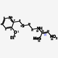 CCOc1cccnc1CSCCN/C(=C/[N+](=O)[O-])SC